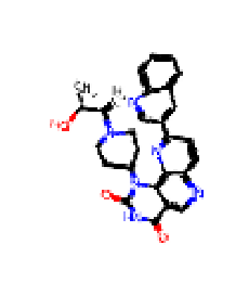 C=C([C@H](C)O)N1CCC(n2c(=O)[nH]c(=O)c3cnc4ccc(-c5cnc6ccccc6c5)nc4c32)CC1